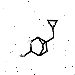 CC(C)(C)C1NC2CCC1CC2CC1CC1